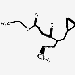 C=CCC(CC1CC1)C(=O)CC(=O)OCC